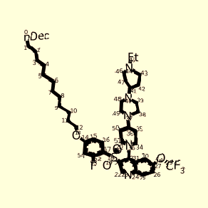 CCCCCCCCCCCCCCCCCCCCCCOc1ccc(S(=O)(=O)c2cnc3ccc(OC(F)(F)F)cc3c2N2CCC(N3CCN(C4CCN(CC)CC4)CC3)CC2)c(F)c1